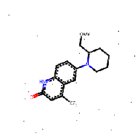 COCC1CCCCN1c1ccc2[nH]c(=O)cc(C(F)(F)F)c2c1